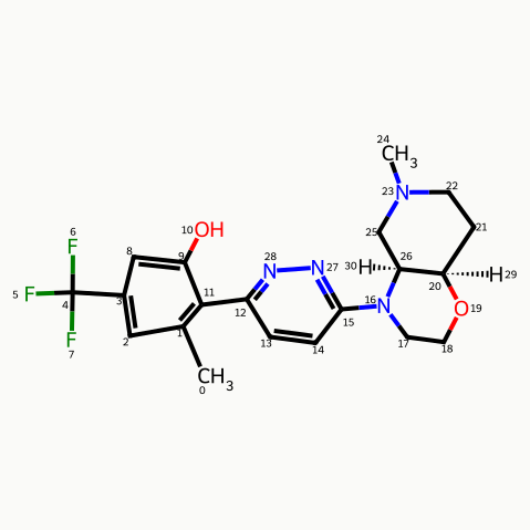 Cc1cc(C(F)(F)F)cc(O)c1-c1ccc(N2CCO[C@@H]3CCN(C)C[C@@H]32)nn1